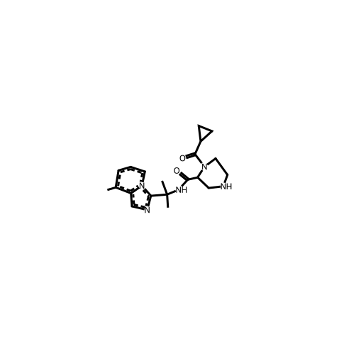 Cc1cccn2c(C(C)(C)NC(=O)C3CNCCN3C(=O)C3CC3)ncc12